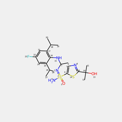 CC(N=S(N)(=O)c1cnc(C(C)(C)O)s1)Nc1c(C(C)C)cc(F)cc1C(C)C